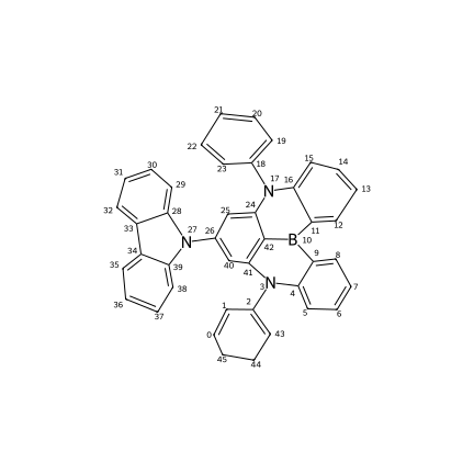 C1=CC(N2c3ccccc3B3c4ccccc4N(c4ccccc4)c4cc(-n5c6ccccc6c6ccccc65)cc2c43)=CCC1